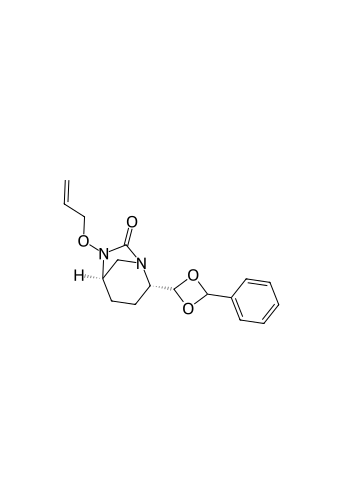 C=CCON1C(=O)N2C[C@H]1CC[C@H]2C1OC(c2ccccc2)O1